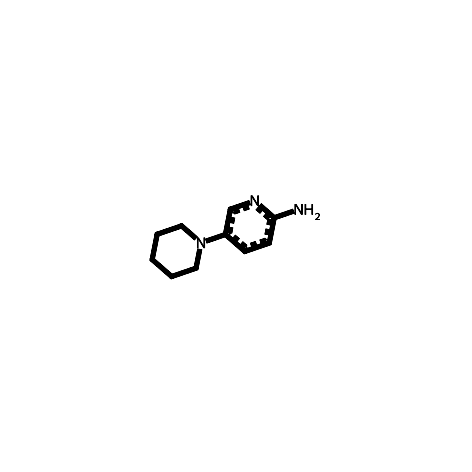 Nc1ccc(N2CCCCC2)cn1